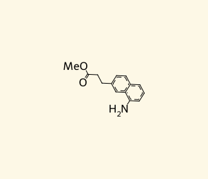 COC(=O)CCc1ccc2cccc(N)c2c1